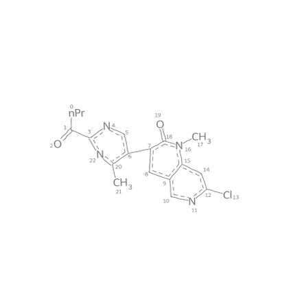 CCCC(=O)c1ncc(-c2cc3cnc(Cl)cc3n(C)c2=O)c(C)n1